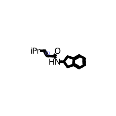 CC(C)/C=C/C(=O)NC1Cc2ccccc2C1